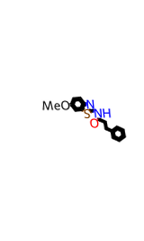 COc1ccc2nc(NC(=O)CCc3ccccc3)sc2c1